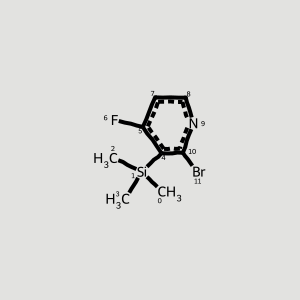 C[Si](C)(C)c1c(F)ccnc1Br